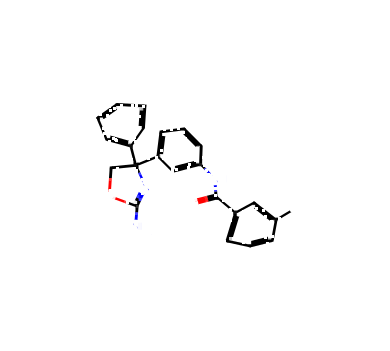 Cc1cccc(C(=O)Nc2cccc(C3(c4ccccc4)COC(N)=N3)c2)c1